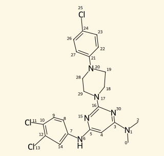 CN(C)c1cc(Nc2ccc(Cl)c(Cl)c2)nc(N2CCN(c3ccc(Cl)cc3)CC2)n1